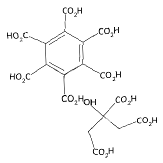 O=C(O)CC(O)(CC(=O)O)C(=O)O.O=C(O)c1c(C(=O)O)c(C(=O)O)c(C(=O)O)c(C(=O)O)c1C(=O)O